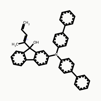 C=C/C=C(\C)C1(O)c2ccccc2-c2ccc(N(c3ccc(-c4ccccc4)cc3)c3ccc(-c4ccccc4)cc3)cc21